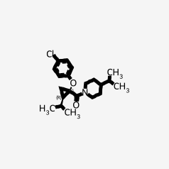 CC(C)C1CCN(C(=O)[C@]2(Oc3ccc(Cl)cc3)C[C@@H]2C(C)C)CC1